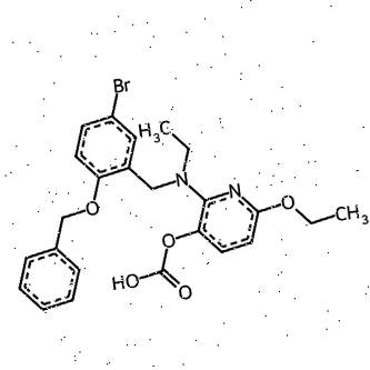 CCOc1ccc(OC(=O)O)c(N(CC)Cc2cc(Br)ccc2OCc2ccccc2)n1